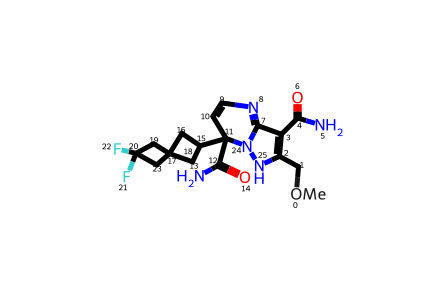 COCC1=C(C(N)=O)C2=NC=CC(C(N)=O)(C3CC4(C3)CC(F)(F)C4)N2N1